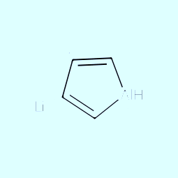 C1=[CH][AlH][CH]=C1.[Li]